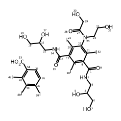 O=C(NCC(O)CO)c1c(I)c(C(=O)NCC(O)CO)c(I)c(N(CCO)C(=O)CO)c1I.O=C(O)c1ccc(I)c(I)c1I